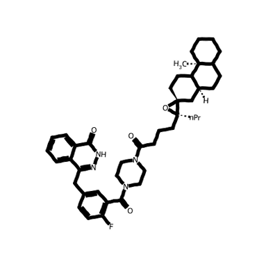 CCC[C@]1(CCCC(=O)N2CCN(C(=O)c3cc(Cc4n[nH]c(=O)c5ccccc45)ccc3F)CC2)O[C@@]12CCC1[C@@H](CCC3CCCC[C@@]31C)C2